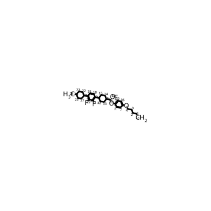 C=CCCCOc1ccc(OC(=O)C2CCC(c3ccc(C4CCC(C)CC4)c(F)c3F)CC2)c(F)c1